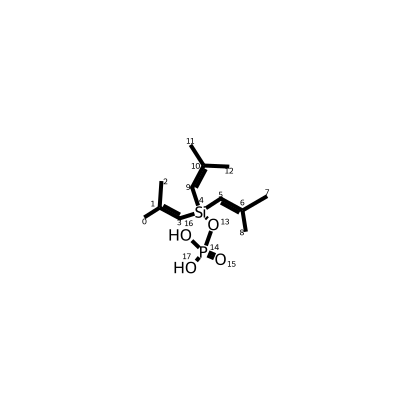 CC(C)=C[Si](C=C(C)C)(C=C(C)C)OP(=O)(O)O